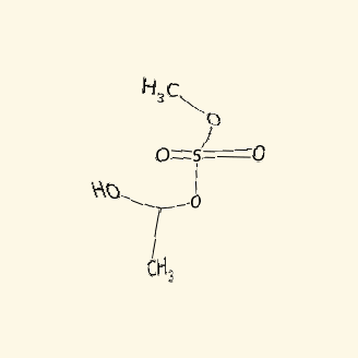 COS(=O)(=O)OC(C)O